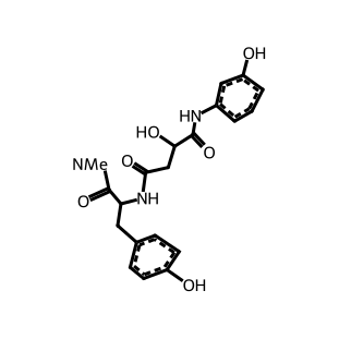 CNC(=O)C(Cc1ccc(O)cc1)NC(=O)CC(O)C(=O)Nc1cccc(O)c1